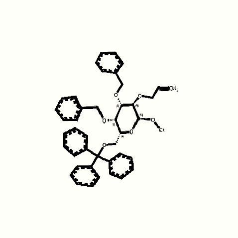 C=CCO[C@H]1[C@@H](OCC)O[C@H](COC(c2ccccc2)(c2ccccc2)c2ccccc2)[C@H](OCc2ccccc2)[C@@H]1OCc1ccccc1